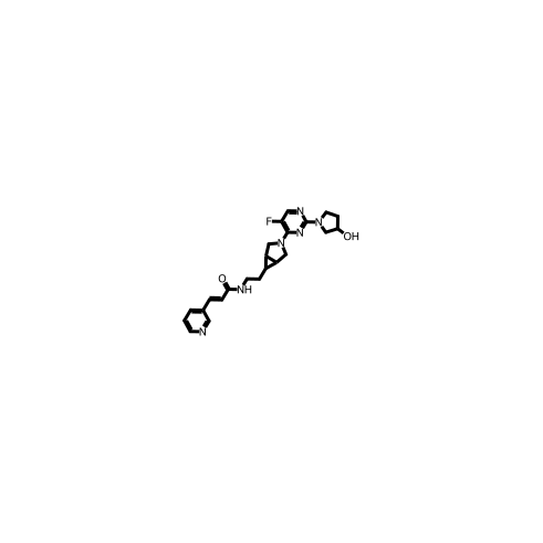 O=C(/C=C/c1cccnc1)NCCC1C2CN(c3nc(N4CCC(O)C4)ncc3F)CC12